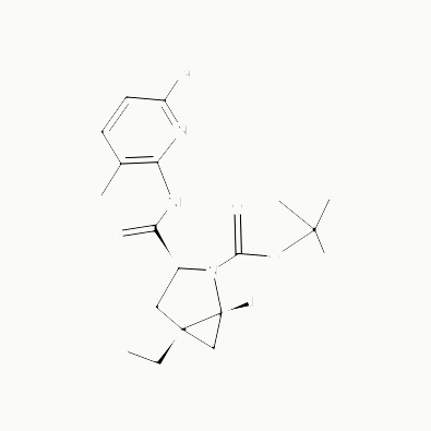 CC[C@@]12C[C@@H](C(=O)Nc3nc(Br)ccc3C)N(C(=O)OC(C)(C)C)[C@@H]1C2